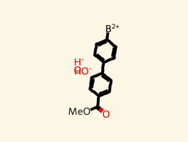 [B+2]c1ccc(-c2ccc(C(=O)OC)cc2)cc1.[OH-].[OH-]